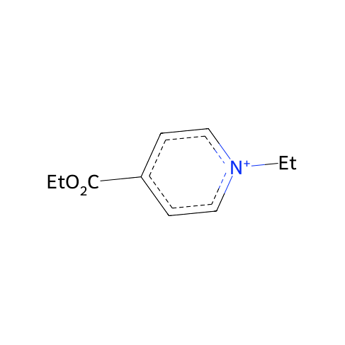 CCOC(=O)c1cc[n+](CC)cc1